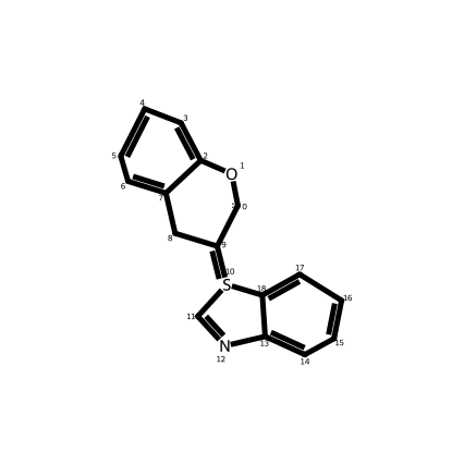 [C]1Oc2ccccc2CC1=S1C=Nc2ccccc21